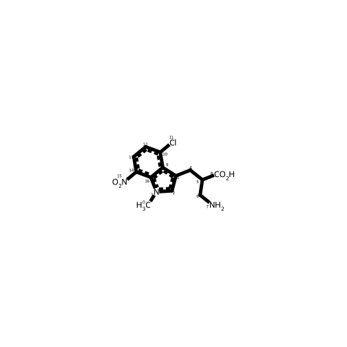 Cn1cc(CC(CN)C(=O)O)c2c(Cl)ccc([N+](=O)[O-])c21